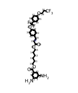 Nc1cc(N)cc(C(=O)OCCCCCCOC(=O)/C=C/c2ccc(OC(F)(F)c3ccc(OCCC(F)(F)F)cc3)cc2)c1